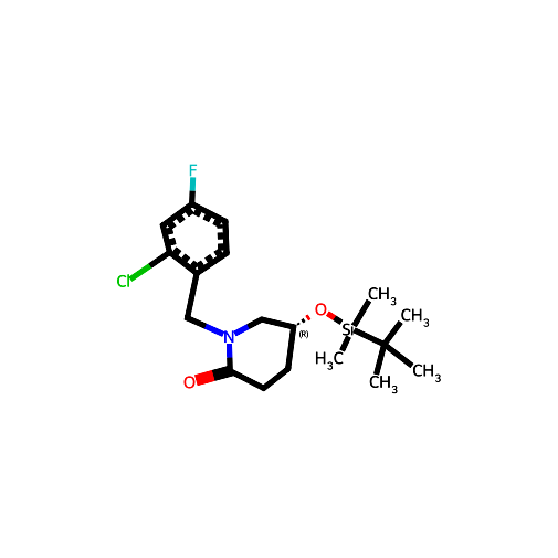 CC(C)(C)[Si](C)(C)O[C@@H]1CCC(=O)N(Cc2ccc(F)cc2Cl)C1